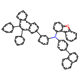 c1ccc(-c2c(-c3ccccc3)c3cc(-c4cccc(N(c5ccc(-c6cccc7ccccc67)cc5)c5cccc6oc7ccccc7c56)c4)ccc3c3ccccc23)cc1